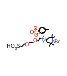 CC1(C)CC([N+](C)(C)CCOCCOCCS(=O)(=O)O)CC(C)(C)N1Br.Cc1ccc(S(=O)(=O)[O-])cc1